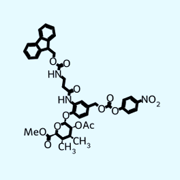 COC(=O)[C@H]1O[C@@H](Oc2ccc(COC(=O)Oc3ccc([N+](=O)[O-])cc3)cc2NC(=O)CCNC(=O)OCC2c3ccccc3-c3ccccc32)[C@H](OC(C)=O)[C@@H](C)[C@@H]1C